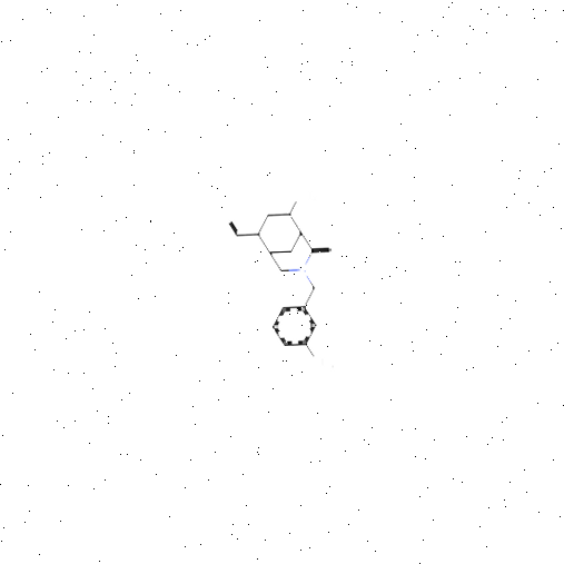 C=CC1CC(C)C2CC1CN(Cc1cccc(C)c1)C2=C